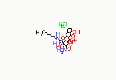 CCCCCCCNCC(=O)C1(N)C(O)=C(C(N)=O)C(=O)C2(O)C(O)=C3C(=O)c4c(O)cccc4CC3CC12.Cl.Cl